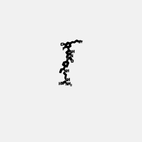 C=C[C@@H](NCCCNC(=N)N)c1ccc(-n2cc3cc(-c4cc(CCCC(C)C)cc(Cl)c4F)[nH]c3nc2=O)cc1